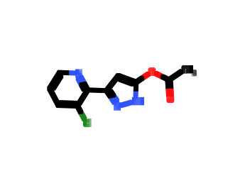 CC(=O)Oc1cc(-c2ncccc2Cl)n[nH]1